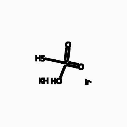 O=S(=O)(O)S.[Ir].[KH]